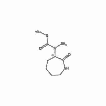 BN(C(=O)OC(C)(C)C)[C@H]1CCCCNC1=O